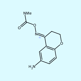 CNC(=O)O/N=C1\CCOc2ccc(N)cc21